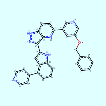 c1ccc(COc2cncc(-c3ccc4[nH]nc(-c5cc6c(-c7ccncc7)cccc6[nH]5)c4n3)c2)cc1